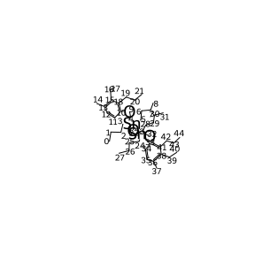 CCC[CH2][Sn]([CH2]CCC)([O]c1ccc(C)c(CC)c1CCC)[O][Sn]([CH2]CCC)([CH2]CCC)[O]c1ccc(C)c(CC)c1CCC